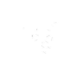 CCN(CC)CC.Nc1cc(-n2cc(C(=O)O)c(=O)c3cc(F)c(N4CC[C@H](N)C4)nc32)c(F)cc1F